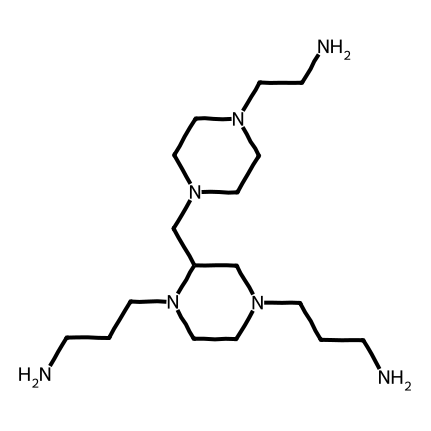 NCCCN1CCN(CCCN)C(CN2CCN(CCN)CC2)C1